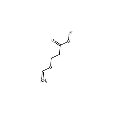 C=COCCC(=O)OC(C)C